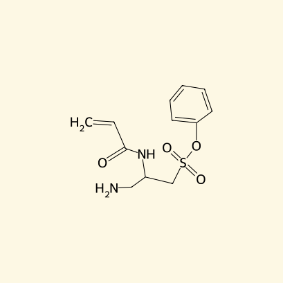 C=CC(=O)NC(CN)CS(=O)(=O)Oc1ccccc1